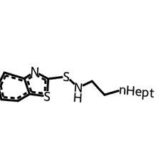 CCCCCCCCCNSc1nc2ccccc2s1